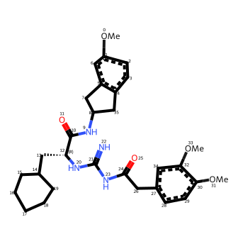 COc1ccc2c(c1)CC(NC(=O)[C@@H](CC1CCCCC1)NC(=N)NC(=O)Cc1ccc(OC)c(OC)c1)C2